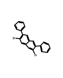 Brc1cc2cc(Br)c(-c3ccccc3)cc2cc1-c1ccccc1